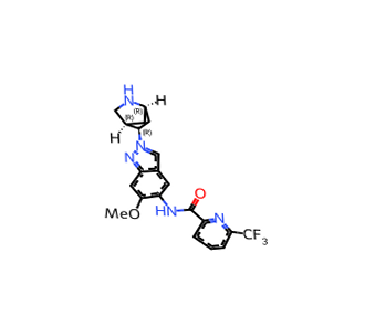 COc1cc2nn([C@@H]3C[C@H]4C[C@@H]3CN4)cc2cc1NC(=O)c1cccc(C(F)(F)F)n1